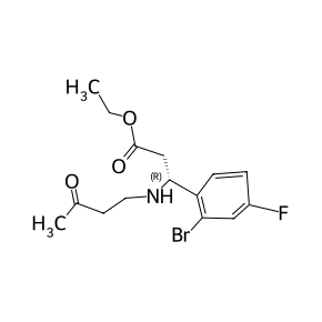 CCOC(=O)C[C@@H](NCCC(C)=O)c1ccc(F)cc1Br